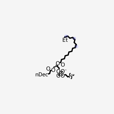 CC/C=C\C/C=C\C/C=C\CCCCCCCC(=O)O[C@H](COC(=O)CCCCCCCCCCC)COP(=O)([O-])OCC[N+](C)(C)C